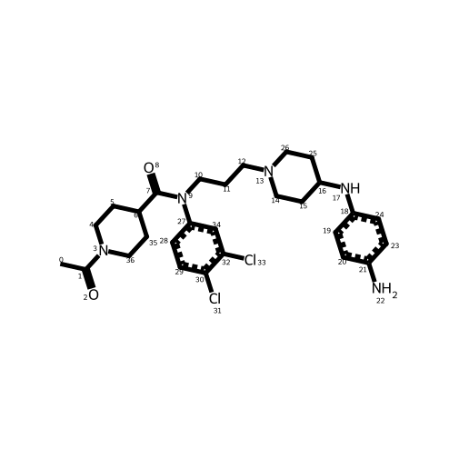 CC(=O)N1CCC(C(=O)N(CCCN2CCC(Nc3ccc(N)cc3)CC2)c2ccc(Cl)c(Cl)c2)CC1